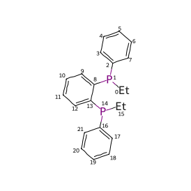 CCP(c1ccccc1)c1ccccc1P(CC)c1ccccc1